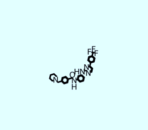 O=C(Nc1cccc(Nc2nccc(-c3ccc(C(F)(F)F)cc3)n2)c1)c1ccc(CN2CCCCC2)cc1